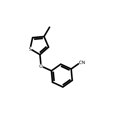 Cc1csc(Oc2cccc(C#N)c2)c1